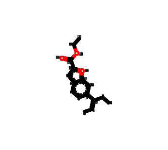 C/C=C(/CC)c1ccc2cc(C(=O)OCC)oc2c1